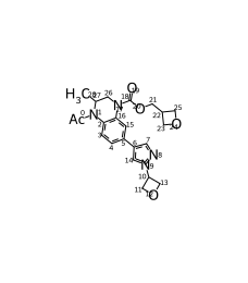 CC(=O)N1c2ccc(-c3cnn(C4COC4)c3)cc2N(C(=O)OCC2COC2)CC1C